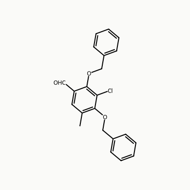 Cc1cc(C=O)c(OCc2ccccc2)c(Cl)c1OCc1ccccc1